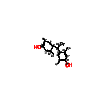 Cc1cc(C(c2cc(C)c(O)cc2C)C(C)C)c(C)cc1O